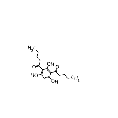 CCCCC(=O)c1c(O)cc(O)c(C(=O)CCCC)c1O